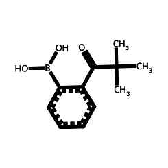 CC(C)(C)C(=O)c1ccccc1B(O)O